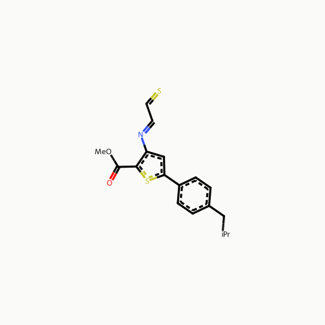 COC(=O)c1sc(-c2ccc(CC(C)C)cc2)cc1N=CC=S